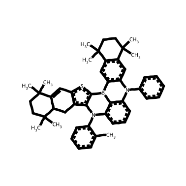 Cc1ccccc1N1c2cccc3c2B(c2cc4c(cc2N3c2ccccc2)C(C)(C)CCC4(C)C)c2sc3c(c21)CC1C(=C3)C(C)(C)CCC1(C)C